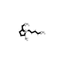 CCCCC[N+]1=C(CC)CCC1.[Br-]